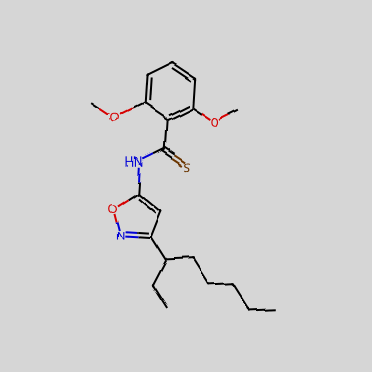 CCCCCC(CC)c1cc(NC(=S)c2c(OC)cccc2OC)on1